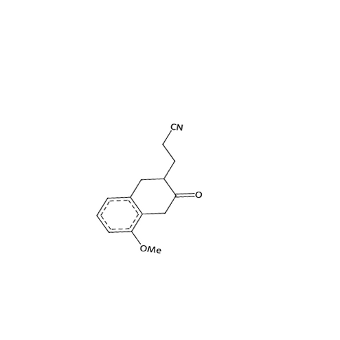 COc1cccc2c1CC(=O)C(CCC#N)C2